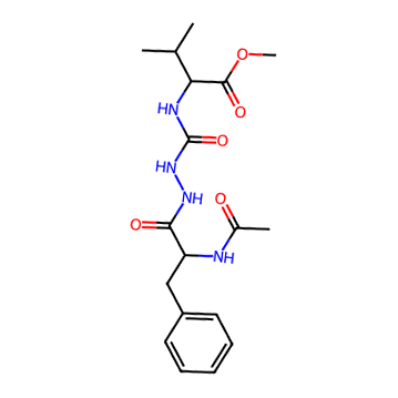 COC(=O)C(NC(=O)NNC(=O)C(Cc1ccccc1)NC(C)=O)C(C)C